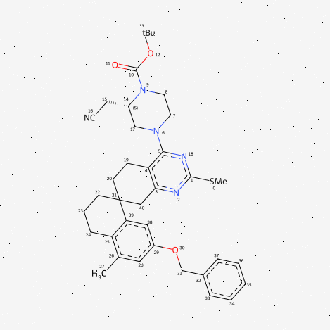 CSc1nc2c(c(N3CCN(C(=O)OC(C)(C)C)[C@@H](CC#N)C3)n1)CCC1(CCCc3c(C)cc(OCc4ccccc4)cc31)C2